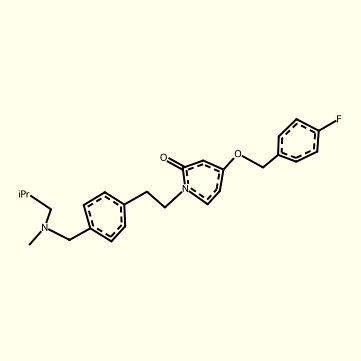 CC(C)CN(C)Cc1ccc(CCn2ccc(OCc3ccc(F)cc3)cc2=O)cc1